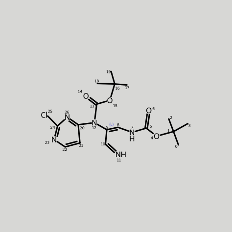 CC(C)(C)OC(=O)N/C=C(\C=N)N(C(=O)OC(C)(C)C)c1ccnc(Cl)n1